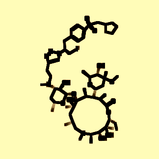 CC[C@H]1OC(=O)[C@H](C)C([C@H]2C[C@@](C)(OC)[C@@H](O)[C@H](C)O2)[C@H](C)[C@@H](O[C@@H]2O[C@H](C)C[C@H](N(C)CCc3cn([C@H](CF)Cc4ccc(S(=O)(=O)CC5CCCC5)cc4)nn3)[C@H]2O)[C@](C)(O)C[C@@H](C)CN(C)[C@H](C)[C@@H](O)[C@]1(C)O